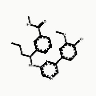 CCCC(Nc1cncc(-c2ccc(O)c(OC)c2)n1)c1cccc(C(=O)NC)c1